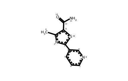 Cc1nc(-c2cccnc2)sc1C(N)=O